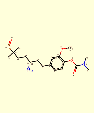 CN(C)C(=O)Oc1ccc(CC[C@H](N)CCC(C)(C)[S+]=O)cc1OC(F)(F)F